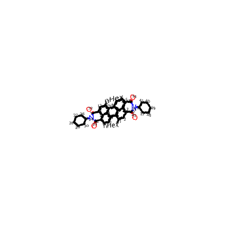 CCCCCCc1cc2c3c(ccc4c5c(CCCCCC)cc6c7c(ccc(c1c34)c75)C(=O)N(C1CCCCC1)C6=O)C(=O)N(C1CCCCC1)C2=O